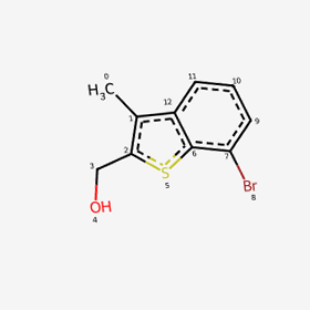 Cc1c(CO)sc2c(Br)cccc12